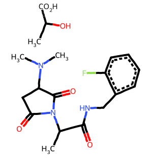 CC(C(=O)NCc1ccccc1F)N1C(=O)CC(N(C)C)C1=O.CC(O)C(=O)O